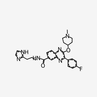 CN1CCC(Oc2nc3ccc(C(=O)NCCCc4ncc[nH]4)cc3nc2-c2ccc(F)cc2)CC1